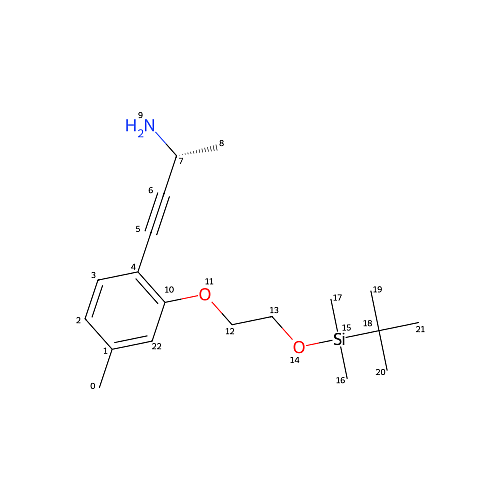 Cc1ccc(C#C[C@@H](C)N)c(OCCO[Si](C)(C)C(C)(C)C)c1